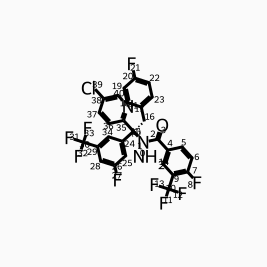 NN(C(=O)c1ccc(F)c(C(F)(F)F)c1)[C@@](Cc1ccc(F)cc1)(c1cc(F)cc(C(F)(F)F)c1)c1ccc(Cl)cn1